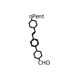 CCCCCC1CCC(C=Cc2ccc(C3CCC(C=O)CC3)cc2)CC1